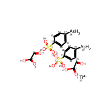 O=CC(=O)[O-].O=CC(=O)[O-].O=S(=O)([O-])c1ccc([AsH2])cc1.O=S(=O)([O-])c1ccc([AsH2])cc1.[Ti+4]